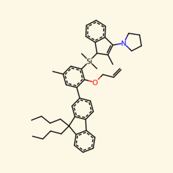 C=CCOc1c(-c2ccc3c(c2)C(CCCC)(CCCC)c2ccccc2-3)cc(C)cc1[Si](C)(C)C1C(C)=C(N2CCCC2)c2ccccc21